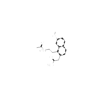 COc1ccc2ccc(CC(=O)O)c(CCNC(C)=O)c2c1